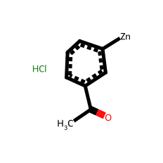 CC(=O)c1ccc[c]([Zn])c1.Cl